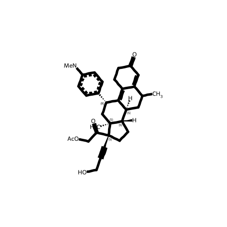 CNc1ccc([C@H]2C[C@@]3(C)[C@@H](CC[C@]3(C#CCO)C(=O)COC(C)=O)[C@@H]3CC(C)C4=CC(=O)CCC4=C32)cc1